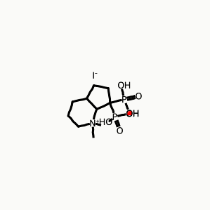 C[N+]1(C)CCCC2CCC(P(=O)(O)O)(P(=O)(O)O)C21.[I-]